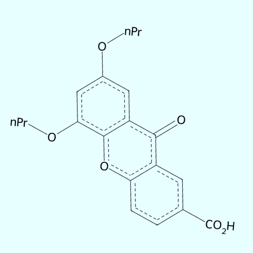 CCCOc1cc(OCCC)c2oc3ccc(C(=O)O)cc3c(=O)c2c1